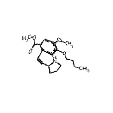 CCCCOc1cc(/C=C\[C@@H]2CCCN2)c(C(=O)OC)cc1OC